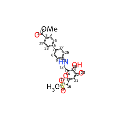 COC(=O)c1ccc(-c2ccc(NCc3oc(CS(C)(=O)=O)cc(=O)c3O)cc2)cc1